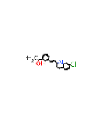 [CH2][C@@H](O)c1cccc(/C=C/c2ccc3ccc(Cl)cc3n2)c1